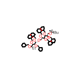 CC[C@@H](OCc1ccccc1)[C@@H](OCc1ccccc1)[C@H](OCc1ccccc1)[C@@H](COC[C@@H](OCc1ccccc1)[C@@H](OCc1ccccc1)[C@H](OCc1ccccc1)[C@@H](CO[Si](C)(C)C(C)(C)C)OCc1ccccc1)OCc1ccccc1